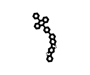 c1ccc(-c2c3ccccc3c(-c3ccc(-c4ccc5cc6sc7cc8c(cc7c6cc5c4)sc4ccccc48)cc3)c3ccccc23)cc1